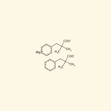 CC(C)(Cc1ccccc1)C(=O)[O-].CC(C)(Cc1ccccc1)C(=O)[O-].[Mg+2]